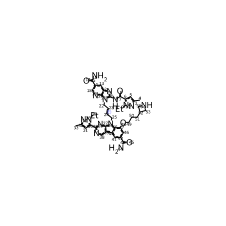 CCn1nc(C)cc1C(=O)Nc1nc2cc(C(N)=O)cnc2n1C/C=C/Cn1c2nc(-c3cc(C)nn3CC)ncc2c2cc(C(N)=O)cc(OCCCC3CNC3)c21